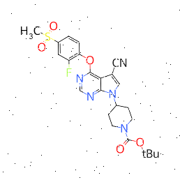 CC(C)(C)OC(=O)N1CCC(n2cc(C#N)c3c(Oc4ccc(S(C)(=O)=O)cc4F)ncnc32)CC1